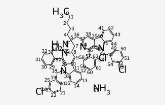 CCCCCC(N)(Cc1cc2c3ccccc3n(Cc3cccc(Cl)c3)c2c(-c2ccccc2Cl)n1)Cc1cc2c3ccccc3n(Cc3cccc(Cl)c3)c2c(-c2ccccc2Cl)n1.N